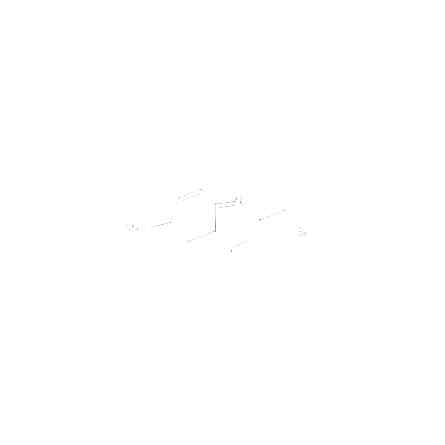 COc1ccc2nc(CBr)cnc2c1